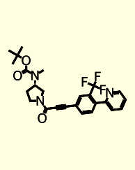 CN(C(=O)OC(C)(C)C)[C@@H]1CCN(C(=O)C#Cc2ccc(-c3ccccn3)c(C(F)(F)F)c2)C1